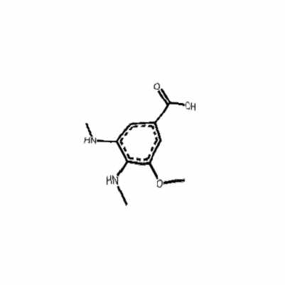 CNc1cc(C(=O)O)cc(OC)c1NC